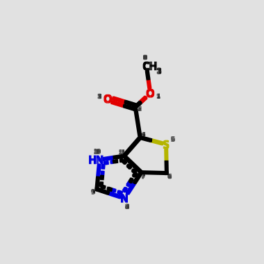 COC(=O)C1SCc2nc[nH]c21